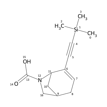 C[Si](C)(C)C#CC1=CCC2CC1N(C(=O)O)C2